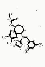 Cc1cc2c(cc1C(F)(F)F)N(OC(=O)OC(C)C)CCC[C@@H]2N(Cc1cc(C(F)(F)F)cc(C(F)(F)F)c1)c1nnn[nH]1